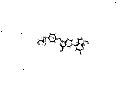 Cc1cc(N2CCc3c(c(C)nn3CC34CCC(NC(=O)CBr)(CC3)CC4)C2)c2cnn(C)c2n1